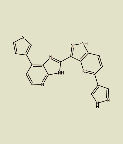 c1cc(-c2ccsc2)c2nc(-c3n[nH]c4ccc(-c5cn[nH]c5)nc34)[nH]c2n1